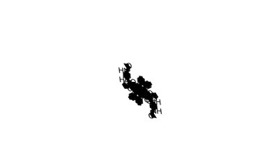 Cc1ccc(Oc2cc3c4c(cc(Oc5ccc(C)cc5)c5c6c(Oc7ccc(C)cc7)cc7c8c(cc(Oc9ccc(C)cc9)c(c2c45)c86)C(=O)N(C(C(=O)Nc2ccc(NCC4CO4)cc2)c2cccs2)C7=O)C(=O)N(C(CNc2ccc(NCC4CO4)cc2)c2cccs2)C3=O)cc1